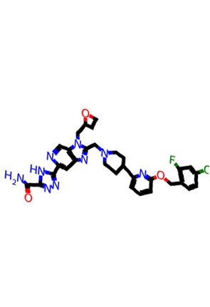 NC(=O)c1nnc(-c2cc3nc(CN4CCC(c5cccc(OCc6ccc(Cl)cc6F)n5)CC4)n(CC4CCO4)c3cn2)[nH]1